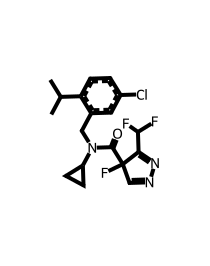 CC(C)c1ccc(Cl)cc1CN(C(=O)C1(F)C=NN=C1C(F)F)C1CC1